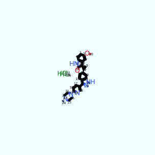 COc1ccc2c(c1)[C@]1(C[C@H]1c1ccc3c(-c4ccc(N5CCN(C)CC5)nc4)n[nH]c3c1)C(=O)N2.Cl.Cl